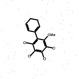 COc1c(Cl)c(Cl)c(Cl)c(Cl)c1C1=C[CH]CC=C1